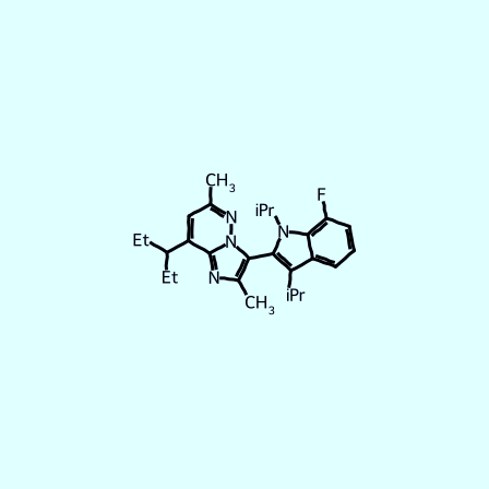 CCC(CC)c1cc(C)nn2c(-c3c(C(C)C)c4cccc(F)c4n3C(C)C)c(C)nc12